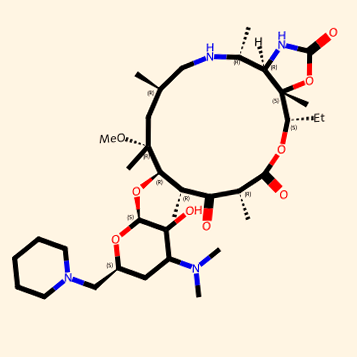 CC[C@@H]1OC(=O)[C@H](C)C(=O)[C@H](C)[C@@H](O[C@@H]2O[C@H](CN3CCCCC3)CC(N(C)C)C2O)[C@](C)(OC)C[C@@H](C)CN[C@H](C)[C@H]2NC(=O)O[C@]12C